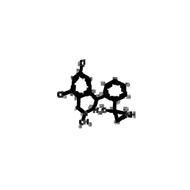 CN1Cc2c(Cl)cc(Cl)cc2C(c2ccccc2C2(C)CN2)C1